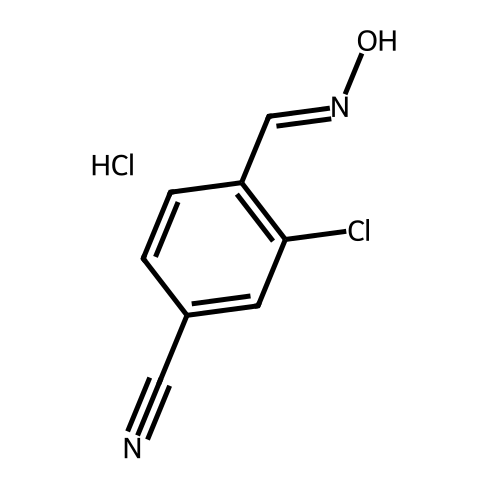 Cl.N#Cc1ccc(C=NO)c(Cl)c1